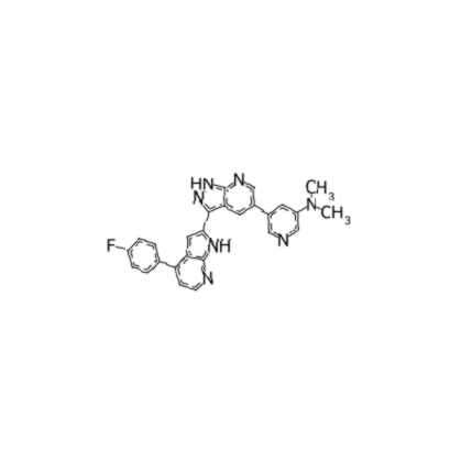 CN(C)c1cncc(-c2cnc3[nH]nc(-c4cc5c(-c6ccc(F)cc6)ccnc5[nH]4)c3c2)c1